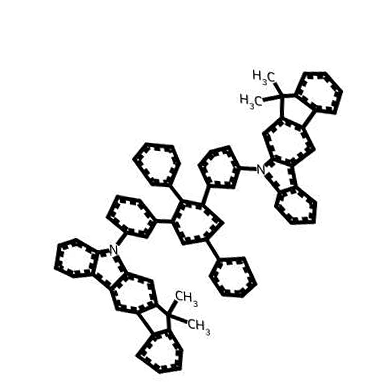 CC1(C)c2ccccc2-c2cc3c4ccccc4n(-c4cccc(-c5cc(-c6ccccc6)cc(-c6cccc(-n7c8ccccc8c8cc9c(cc87)C(C)(C)c7ccccc7-9)c6)c5-c5ccccc5)c4)c3cc21